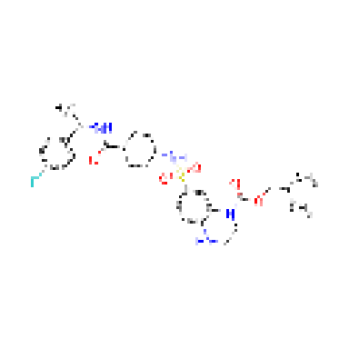 CC(C)COC(=O)N1CCNc2ccc(S(=O)(=O)N[C@H]3CC[C@H](C(=O)N[C@H](C)c4ccc(F)cc4)CC3)cc21